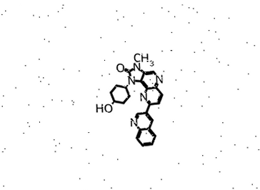 Cn1c(=O)n([C@H]2CC[C@H](O)CC2)c2c3nc(-c4cnc5ccccc5c4)ccc3ncc21